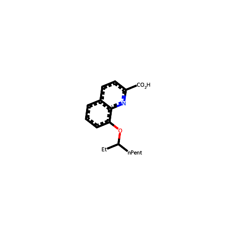 CCCCCC(CC)Oc1cccc2ccc(C(=O)O)nc12